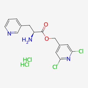 Cl.Cl.N[C@@H](Cc1cccnc1)C(=O)OCc1cc(Cl)nc(Cl)c1